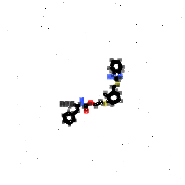 CCOC(=O)C(Cc1ccccc1)NC(=O)OCCSc1cccc(CSc2nc3ccccc3[nH]2)c1C